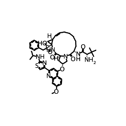 COc1ccc2c(O[C@@H]3C[C@H]4C(=O)N[C@]5(P(=O)(O)Cc6ccccc6)C[C@H]5/C=C\CCCCC[C@H](NC(=O)[C@@H](N)C(C)(C)C)C(=O)N4C3)cc(-c3csc(NC(C)C)n3)nc2c1